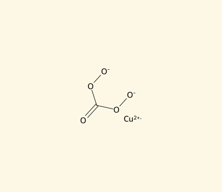 O=C(O[O-])O[O-].[Cu+2]